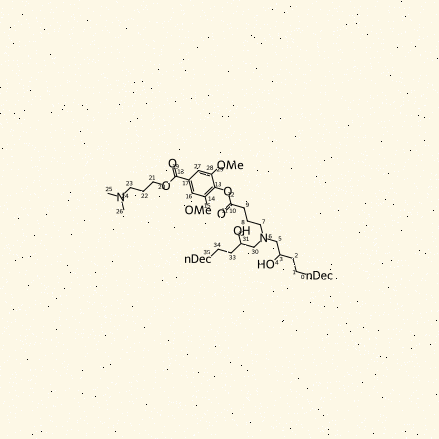 CCCCCCCCCCCCC(O)CN(CCCC(=O)Oc1c(OC)cc(C(=O)OCCCN(C)C)cc1OC)CC(O)CCCCCCCCCCCC